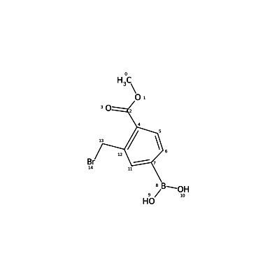 COC(=O)c1ccc(B(O)O)cc1CBr